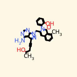 Cc1cccc2cc(Cn3nc(C#CC[C@@H](C)O)c4c(N)ncnc43)n(-c3ccccc3O)c(=O)c12